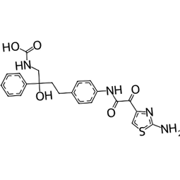 Nc1nc(C(=O)C(=O)Nc2ccc(CCC(O)(CNC(=O)O)c3ccccc3)cc2)cs1